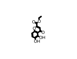 CCOC(=O)c1cc(=O)c2c(O)c(O)ccc2o1